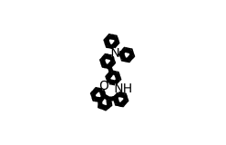 c1ccc(N(c2ccccc2)c2cccc(-c3ccc4c(c3)Oc3cccc5cccc(c35)-c3ccccc3N4)c2)cc1